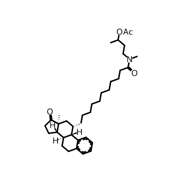 CC(=O)OC(C)CCN(C)C(=O)CCCCCCCCCC[C@H]1C[C@]2(C)C(=O)CC[C@H]2[C@@H]2CCc3ccccc3[C@@H]12